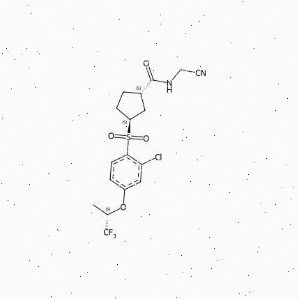 C[C@H](Oc1ccc(S(=O)(=O)[C@H]2CC[C@H](C(=O)NCC#N)C2)c(Cl)c1)C(F)(F)F